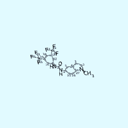 Cn1ccc2cc(NC(=O)Nc3cc(C(F)(F)F)cc(C(F)(F)F)c3)ccc21